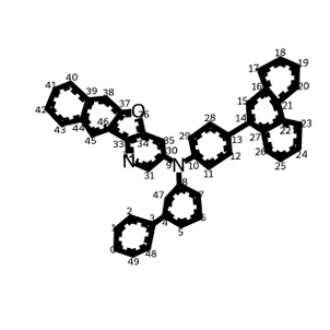 c1ccc(-c2cccc(N(c3ccc(-c4cc5ccccc5c5ccccc45)cc3)c3cnc4c(c3)oc3cc5ccccc5cc34)c2)cc1